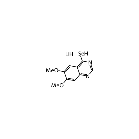 COc1cc2ncnc([SeH])c2cc1OC.[LiH]